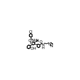 N#Cc1c(-c2cccc(C(=O)NCCCn3ccnc3)c2)cc(-c2ccccc2O)nc1NC(=O)c1ccc(Cl)cc1